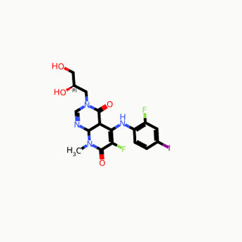 CN1C(=O)C(F)=C(Nc2ccc(I)cc2F)C2C(=O)N(C[C@@H](O)CO)C=NC21